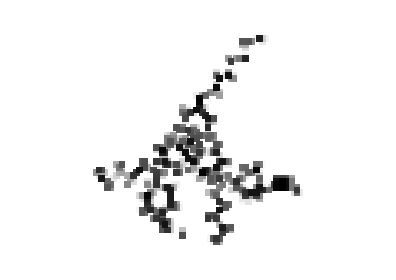 CCCCCCCCC1CCC(c2ccc(C(CCCCC)c3ccc(N)cc3)cc2)(c2ccc(C(CCCCC)c3ccc(N)cc3)cc2)CC1